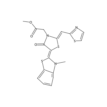 COC(=O)Cn1c(=O)/c(=C2\Sc3ccccc3N2C)s/c1=C\c1nccs1